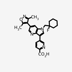 Cc1noc(C)c1-c1cnc2c(-c3ccc(C(=O)O)nc3)cn(CC3(F)CCCCC3)c2c1